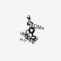 COc1cc(-c2cc3ncn(C(F)F)c3c(O[C@H](C)[C@H]3CNC(=O)C3)n2)ccc1N1CCN(C2COC2)CC1